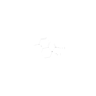 NC1(C(=O)O)CCOc2c(Cl)cccc21